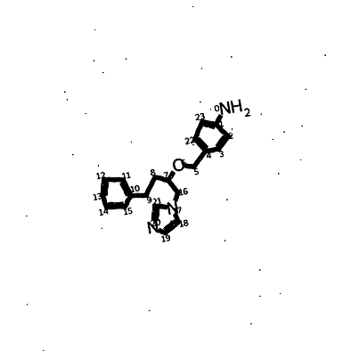 Nc1ccc(COC(CCc2ccccc2)Cn2ccnc2)cc1